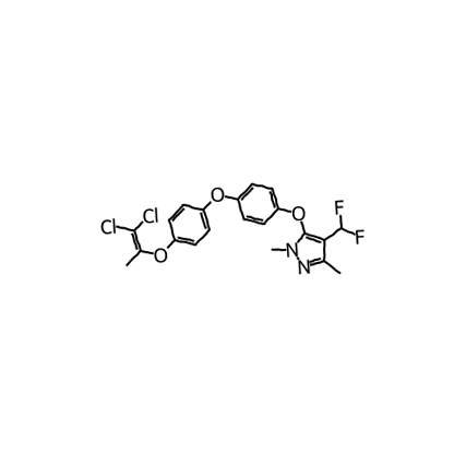 CC(Oc1ccc(Oc2ccc(Oc3c(C(F)F)c(C)nn3C)cc2)cc1)=C(Cl)Cl